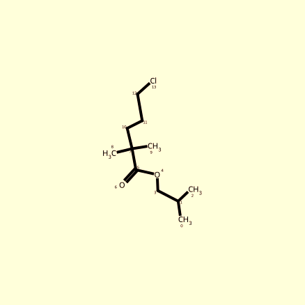 CC(C)COC(=O)C(C)(C)CCCCl